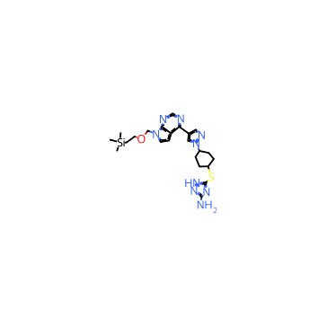 C[Si](C)(C)CCOCn1ccc2c(-c3cnn(C4CCC(Sc5nc(N)n[nH]5)CC4)c3)ncnc21